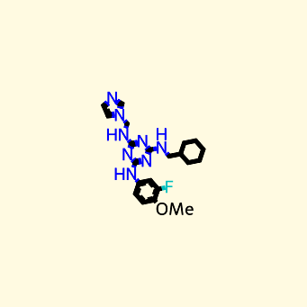 COc1ccc(Nc2nc(NCC3CCCCC3)nc(NCn3ccnc3)n2)cc1F